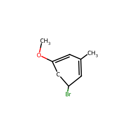 COC1=CC(C)=CC(Br)C1